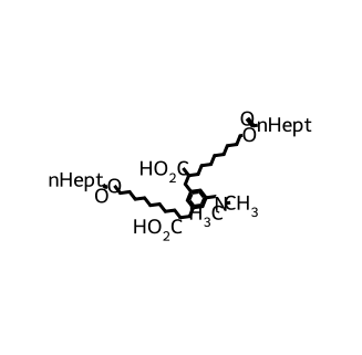 CCCCCCCC(=O)OCCCCCCCCC(Cc1cc(CC(CCCCCCCCOC(=O)CCCCCCC)C(=O)O)cc(CN(C)C)c1)C(=O)O